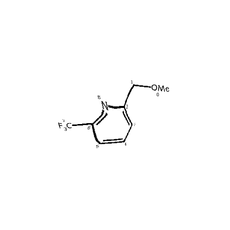 COCc1cccc(C(F)(F)F)n1